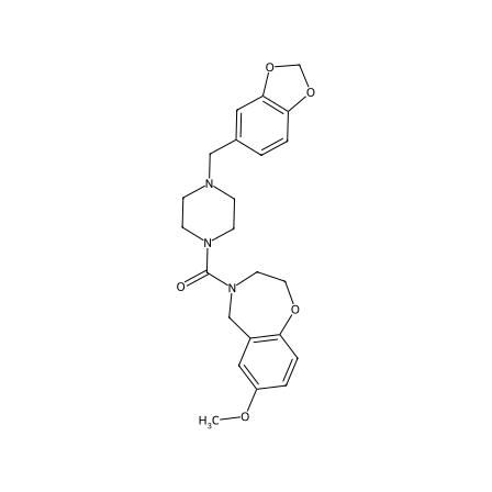 COc1ccc2c(c1)CN(C(=O)N1CCN(Cc3ccc4c(c3)OCO4)CC1)CCO2